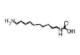 NCCCCCCCCCCNC(=O)O